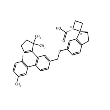 Cc1ccc(F)c(-c2ccc(COc3ccc4c(c3)[C@@]3(CC4)CC[C@H]3C(=O)O)cc2C2=CCCC2(C)C)c1